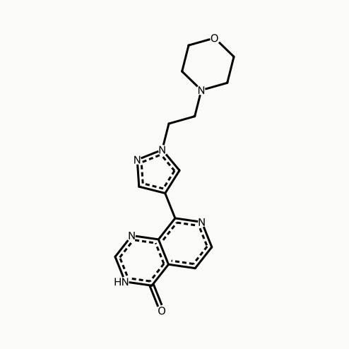 O=c1[nH]cnc2c(-c3cnn(CCN4CCOCC4)c3)nccc12